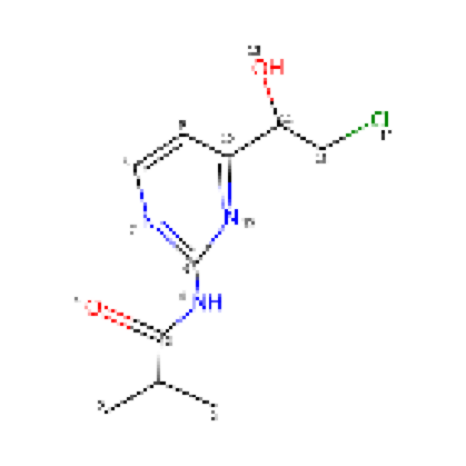 CC(C)C(=O)Nc1nccc(C(O)CCl)n1